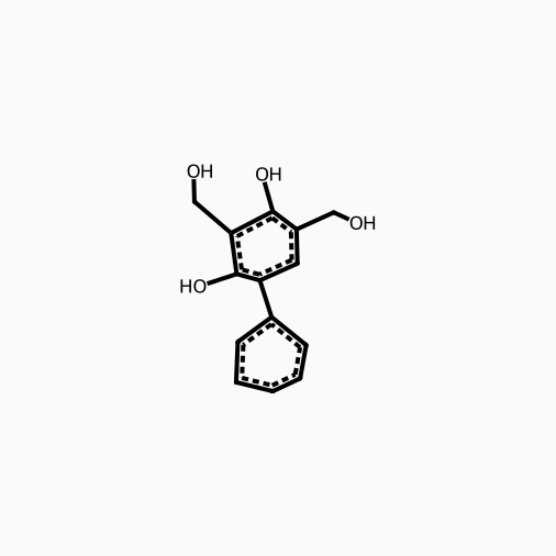 OCc1cc(-c2ccccc2)c(O)c(CO)c1O